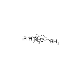 BCCC1CCC2(C)C(=CCC3C2CCC2(C)C(CCCCC(C)C)CCC32)C1